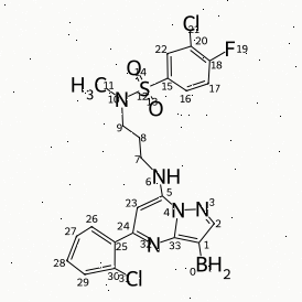 Bc1cnn2c(NCCCN(C)S(=O)(=O)c3ccc(F)c(Cl)c3)cc(-c3ccccc3Cl)nc12